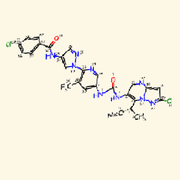 CO[C@@H](C)c1c(NC(=O)Nc2cnc(-n3cc(NC(=O)c4ccc(Cl)cc4)cn3)c(C(F)(F)F)c2)cnc2cc(Cl)nn12